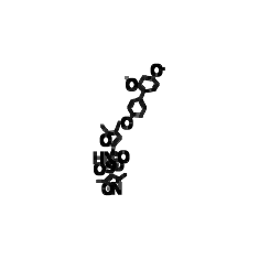 COc1ccc(-c2ccc(OCc3cc(C(=O)NS(=O)(=O)c4c(C)noc4C)oc3C)cc2)c(OC)c1